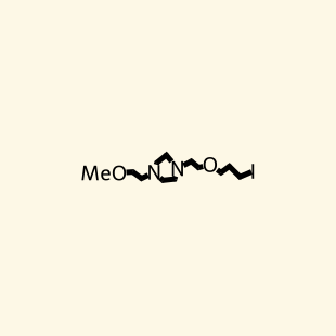 COCCN1CCN(CCOCCCI)CC1